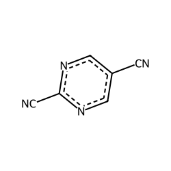 N#Cc1cnc(C#N)nc1